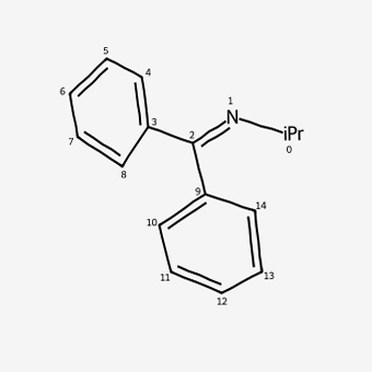 CC(C)N=C(c1ccccc1)c1ccccc1